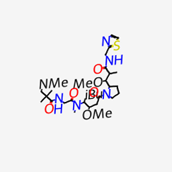 CCC(C)C(C(CC(=O)N1CCCC1C(OC)C(C)C(=O)NCc1nccs1)OC)N(C)C(=O)CNC(=O)C(C)(C)CNC